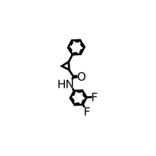 O=C(Nc1ccc(F)c(F)c1)C1CC1c1ccccc1